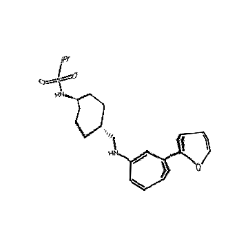 CC(C)S(=O)(=O)N[C@H]1CC[C@H](CNc2cccc(-c3ccco3)c2)CC1